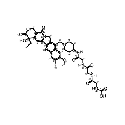 CCC1(O)C(=O)OCc2c1cc1n(c2=O)Cc2c-1nc1cc(F)c(OC)cc1c2CN1CCC(NC(=O)CNC(=O)CNC(=O)CNC(=O)O)CC1